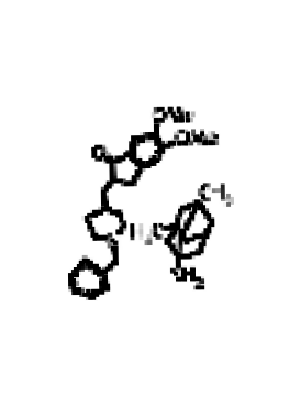 CC12CC3CC(C)(C1)CC(N)(C3)C2.COc1cc2c(cc1OC)C(=O)C(CC1CCN(Cc3ccccc3)CC1)C2